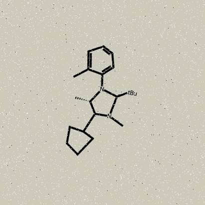 Cc1ccccc1N1C(C(C)(C)C)N(C)C(C2CCCC2)[C@@H]1C